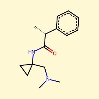 C[C@@H](C(=O)NC1(CN(C)C)CC1)c1ccccc1